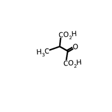 CC(C(=O)O)C(=O)C(=O)O